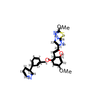 COc1cc(OCc2cccc(-c3cccnc3)c2)c2cc(-c3cn4nc(OC)sc4n3)oc2c1